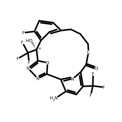 Nc1cc(C(F)(F)F)c2nc1-c1nnc(o1)[C@@](O)(C(F)(F)F)c1cc(ccc1F)CCCCC2=O